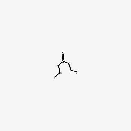 C=S(CCC)CCC